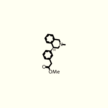 COC(=O)Cc1cccc([C@@H]2CN(C)Cc3ccccc32)c1